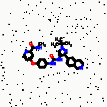 CNC(=O)c1cc(Oc2ccc(NC(=O)Nc3cn(C(C)(C)C)nc3-c3ccc4cnccc4c3)cc2)ccn1